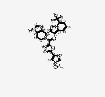 Cn1cnc(-c2nnc(C(=O)N3CCc4[nH]cnc4[C@H]3c3cc4cccc(C(F)(F)F)n4n3)o2)c1